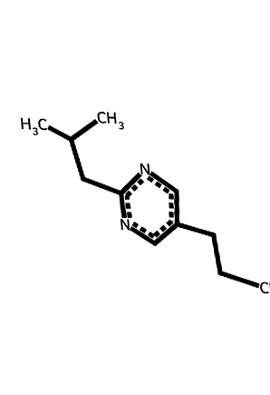 CCCc1cnc(CC(C)C)nc1